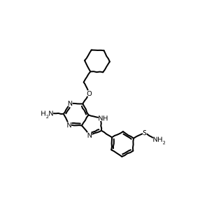 NSc1cccc(-c2nc3nc(N)nc(OCC4CCCCC4)c3[nH]2)c1